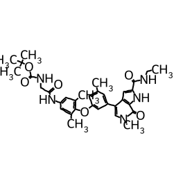 CCNC(=O)c1cc2c(-c3cc(C)cc(Oc4c(C)cc(NC(=O)CNC(=O)OC(C)(C)C)cc4C)c3)cn(C)c(=O)c2[nH]1